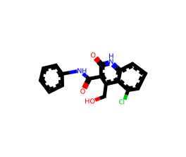 O=C(Nc1ccccc1)c1c(CO)c2c(Cl)cccc2[nH]c1=O